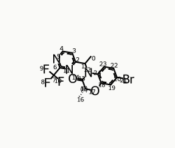 CC(c1ccnc(C(F)(F)F)n1)N1C(=O)[C@@H](C)Oc2cc(Br)ccc21